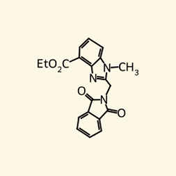 CCOC(=O)c1cccc2c1nc(CN1C(=O)c3ccccc3C1=O)n2C